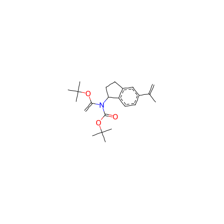 C=C(C)c1ccc2c(c1)CCC2N(C(=C)OC(C)(C)C)C(=O)OC(C)(C)C